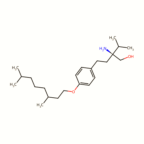 CC(C)CCCC(C)CCOc1ccc(CC[C@@](N)(CO)C(C)C)cc1